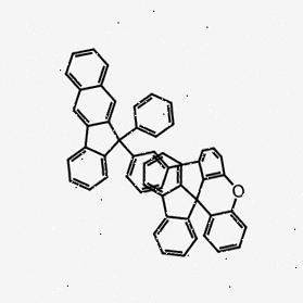 c1ccc(C2(c3cccc(-c4cccc5c4C4(c6ccccc6O5)c5ccccc5-c5ccccc54)c3)c3ccccc3-c3cc4ccccc4cc32)cc1